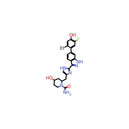 CCc1cc(O)c(F)cc1-c1ccc2c(-c3nc(CC4CC(O)CCN4C(N)=O)c[nH]3)n[nH]c2c1